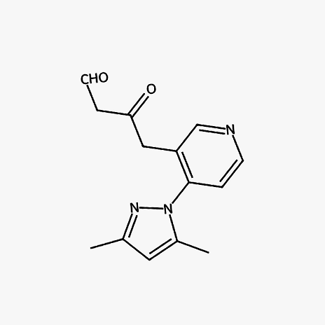 Cc1cc(C)n(-c2ccncc2CC(=O)CC=O)n1